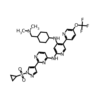 CN(C)CC1CCC(Nc2cc(Nc3ccnc(-c4cnn(S(=O)(=O)C5CC5)c4)n3)ncc2-c2ccc(OC(F)(F)F)cn2)CC1